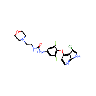 O=C(NCCN1CCOCC1)Nc1cc(F)c(Oc2ccnc3[nH]cc(Cl)c23)c(F)c1